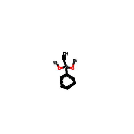 C#C[Si](OCC)(OCC)c1ccccc1